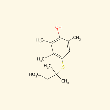 Cc1cc(SC(C)(C)CC(=O)O)c(C)c(C)c1O